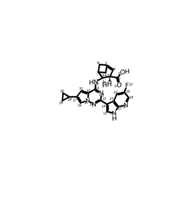 O=C(O)[C@H]1C=C2CC(C2)[C@@H]1Nc1nc(-c2c[nH]c3ncc(F)cc23)nn2cc(C3CC3)cc12